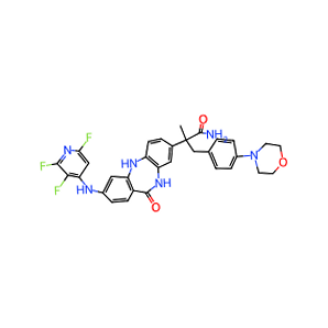 CC(Cc1ccc(N2CCOCC2)cc1)(C(N)=O)c1ccc2c(c1)NC(=O)c1ccc(Nc3cc(F)nc(F)c3F)cc1N2